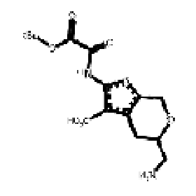 CC(C)(C)OC(=O)C(=O)Nc1sc2c(c1C(=O)O)CC(CN)OC2